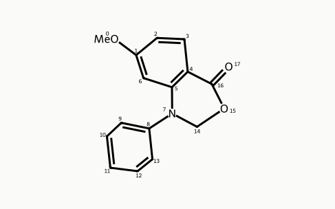 COc1ccc2c(c1)N(c1ccccc1)COC2=O